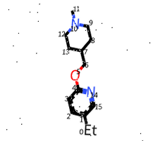 CCc1ccc(OCC2CCN(C)CC2)nc1